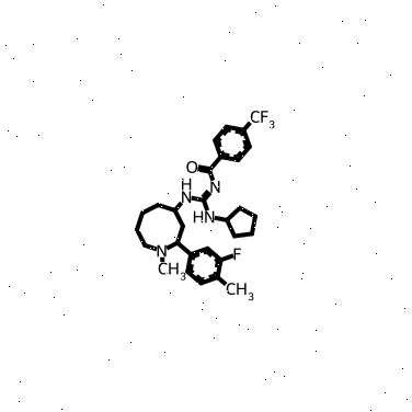 Cc1ccc(C2CC(N/C(=N\C(=O)c3ccc(C(F)(F)F)cc3)NC3CCCC3)CCCCN2C)cc1F